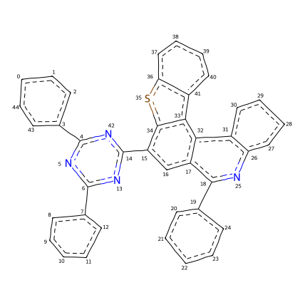 c1ccc(-c2nc(-c3ccccc3)nc(-c3cc4c(-c5ccccc5)nc5ccccc5c4c4c3sc3ccccc34)n2)cc1